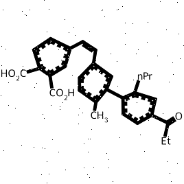 CCCc1cc(C(=O)CC)ccc1-c1cc(/C=C\c2ccc(C(=O)O)c(C(=O)O)c2)ccc1C